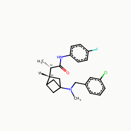 C[C@H](C(=O)Nc1ccc(F)cc1)[C@@H]1CC2(N(C)Cc3cccc(Cl)c3)CC1C2